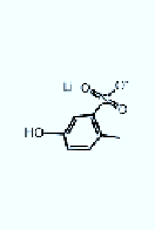 Cc1ccc(O)cc1S(=O)(=O)[O-].[Li+]